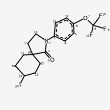 O=C1N(c2ccc(OC(F)(F)F)cc2)CCC12CCC(I)CC2